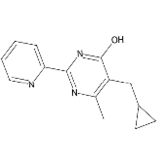 Cc1nc(-c2ccccn2)nc(O)c1CC1CC1